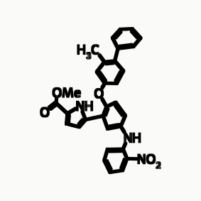 COC(=O)c1ccc(-c2cc(Nc3ccccc3[N+](=O)[O-])ccc2Oc2ccc(-c3ccccc3)c(C)c2)[nH]1